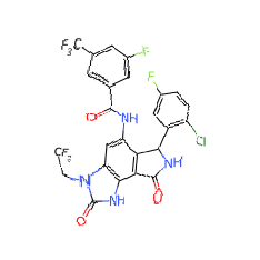 O=C(Nc1cc2c([nH]c(=O)n2CC(F)(F)F)c2c1C(c1cc(F)ccc1Cl)NC2=O)c1cc(F)cc(C(F)(F)F)c1